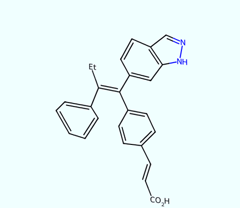 CC/C(=C(/c1ccc(C=CC(=O)O)cc1)c1ccc2cn[nH]c2c1)c1ccccc1